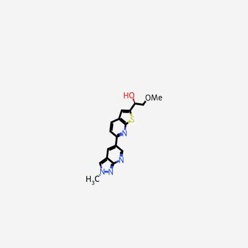 COC[C@H](O)c1cc2ccc(-c3cnc4nn(C)cc4c3)nc2s1